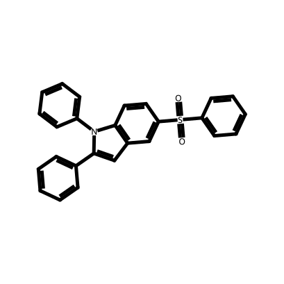 O=S(=O)(c1ccccc1)c1ccc2c(c1)cc(-c1ccccc1)n2-c1ccccc1